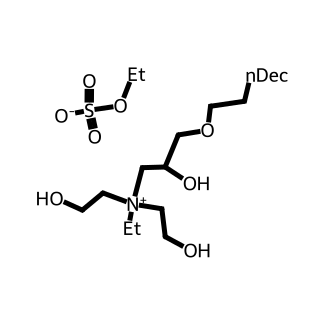 CCCCCCCCCCCCOCC(O)C[N+](CC)(CCO)CCO.CCOS(=O)(=O)[O-]